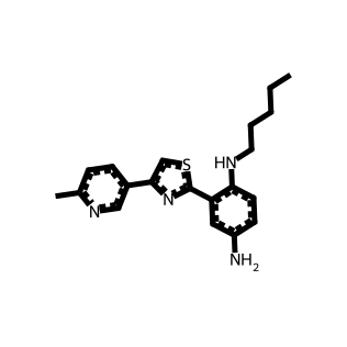 CCCCCNc1ccc(N)cc1-c1nc(-c2ccc(C)nc2)cs1